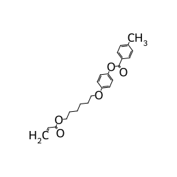 C=CC(=O)OCCCCCCOc1ccc(OC(=O)c2ccc(C)cc2)cc1